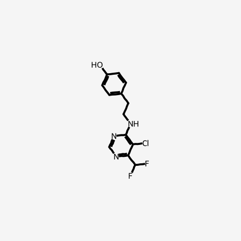 Oc1ccc(CCNc2ncnc(C(F)F)c2Cl)cc1